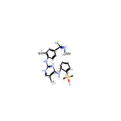 CO/N=C(/Cl)c1ccc(Nc2ncc(C(F)(F)F)c(Nc3ccccc3P(C)(C)=O)n2)c(OC)c1